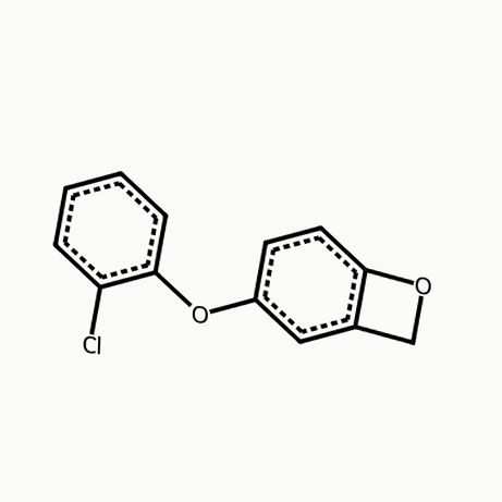 Clc1ccccc1Oc1ccc2c(c1)CO2